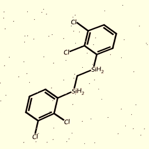 Clc1cccc([SiH2]C[SiH2]c2cccc(Cl)c2Cl)c1Cl